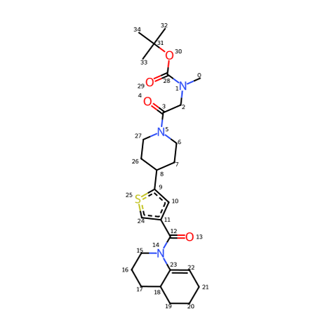 CN(CC(=O)N1CCC(c2cc(C(=O)N3CCCC4CCCC=C43)cs2)CC1)C(=O)OC(C)(C)C